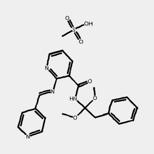 COC(Cc1ccccc1)(NC(=O)c1cccnc1N=Cc1ccncc1)OC.CS(=O)(=O)O